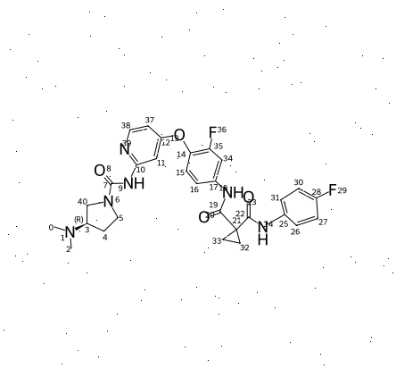 CN(C)[C@@H]1CCN(C(=O)Nc2cc(Oc3ccc(NC(=O)C4(C(=O)Nc5ccc(F)cc5)CC4)cc3F)ccn2)C1